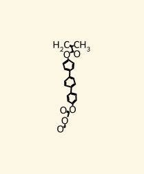 C=C(C)C(=O)Oc1ccc(-c2ccc(-c3ccc(OC(=O)COC=O)cc3)cc2)cc1